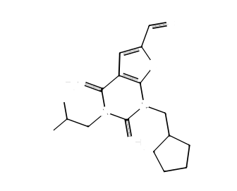 C=C1c2cc(C=O)sc2N(CC2CCCC2)C(=C)N1CC(F)F